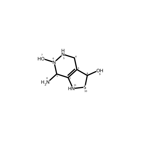 NC1C2=C(CNN1O)C(O)SN2